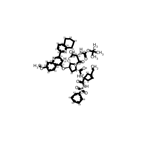 C=CC1=CC[C@@](NC(=O)[C@@H]2C[C@@H](Oc3cc(-c4ccc5c(n4)CCCC5)nc4cc(OC)ccc34)CN2C(=O)[C@@H](NC(=O)OC(C)(C)C)C(C)C)(C(=O)NS(=O)(=O)c2ccccc2)C1